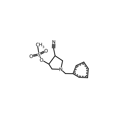 CS(=O)(=O)OC1CN(Cc2ccccc2)CC1C#N